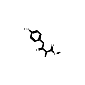 COC(=O)C(C)C(=O)Cc1ccc(O)cc1